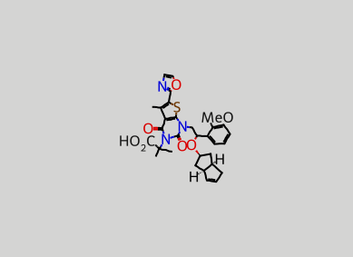 COc1ccccc1C(Cn1c(=O)n(C(C)(C)C(=O)O)c(=O)c2c(C)c(-c3ncco3)sc21)O[C@H]1C[C@H]2CC=C[C@H]2C1